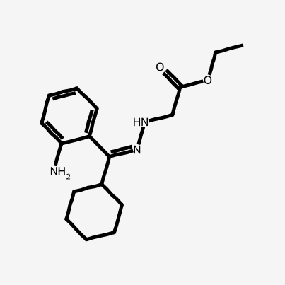 CCOC(=O)CN/N=C(\c1ccccc1N)C1CCCCC1